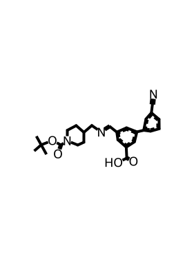 CC(C)(C)OC(=O)N1CCC(C/N=C/c2cc(C(=O)O)cc(-c3cccc(C#N)c3)c2)CC1